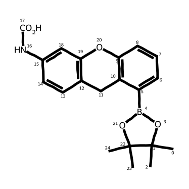 CC1(C)OB(c2cccc3c2Cc2ccc(NC(=O)O)cc2O3)OC1(C)C